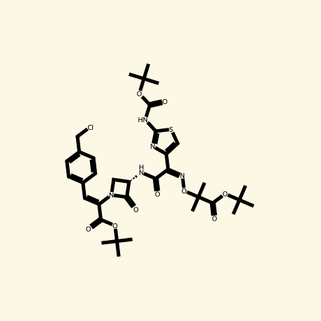 CC(C)(C)OC(=O)Nc1nc(/C(=N/OC(C)(C)C(=O)OC(C)(C)C)C(=O)N[C@H]2CN(/C(=C\c3ccc(CCl)cc3)C(=O)OC(C)(C)C)C2=O)cs1